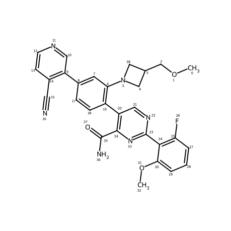 COCC1CN(c2cc(-c3cnccc3C#N)ccc2-c2cnc(-c3c(F)cccc3OC)nc2C(N)=O)C1